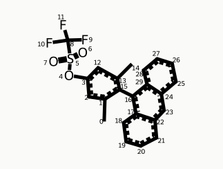 Cc1cc(OS(=O)(=O)C(F)(F)F)cc(C)c1-c1c2ccccc2cc2ccccc12